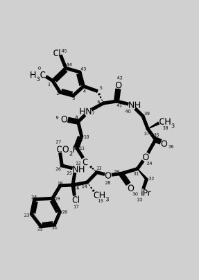 Cc1ccc(C[C@H]2NC(=O)/C=C/C[C@@H]([C@H](C)C(Cl)(Cc3ccccc3)NCC(=O)O)OC(=O)[C@H](CC(C)C)OC(=O)[C@H](C)CNC2=O)cc1Cl